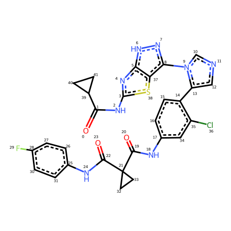 O=C(Nc1nc2[nH]nc(-n3cncc3-c3ccc(NC(=O)C4(C(=O)Nc5ccc(F)cc5)CC4)cc3Cl)c2s1)C1CC1